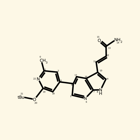 Cc1cc(-c2cnc3[nH]cc(/C=C/C(N)=O)c3c2)cc(OC(C)(C)C)n1